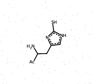 CC(=O)C(N)Cc1c[nH]c(S)n1